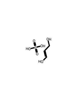 O=S(=O)(O)O.OC=CCO